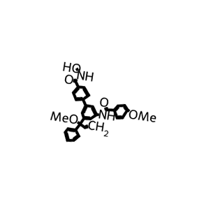 C=CC(OC)(c1ccccc1)c1cc(NC(=O)c2ccc(OC)cc2)cc(-c2ccc(C(=O)NO)cc2)c1